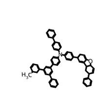 CC1C=CC=C(c2cc(-c3ccccc3)cc(-c3ccc(N(c4ccc(-c5ccccc5)cc4)c4ccc(C5C=C6C(=CC5)OC5C=CC(c7ccccc7)CC65)cc4)cc3)c2)C1